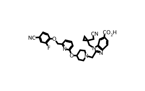 N#CCC1(Cn2c(CN3CCC(Oc4cccc(COc5ccc(C#N)cc5F)n4)CC3)nc3ccc(C(=O)O)cc32)CC1